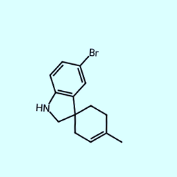 CC1=CCC2(CC1)CNc1ccc(Br)cc12